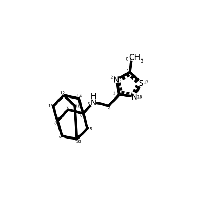 Cc1nc(CNC23CC4CC(CC(C4)C2)C3)ns1